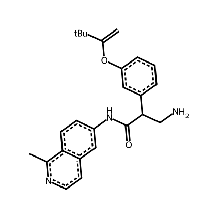 C=C(Oc1cccc(C(CN)C(=O)Nc2ccc3c(C)nccc3c2)c1)C(C)(C)C